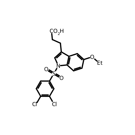 CCOc1ccc2c(c1)c(CCC(=O)O)cn2S(=O)(=O)c1ccc(Cl)c(Cl)c1